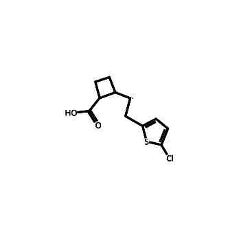 O=C(O)C1CCC1[CH]Cc1ccc(Cl)s1